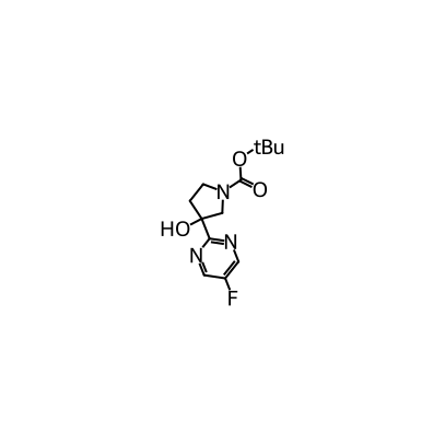 CC(C)(C)OC(=O)N1CCC(O)(c2ncc(F)cn2)C1